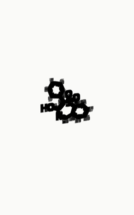 O=S1(=O)C(c2ccccc2)=C(O)N=Cc2ccccc21